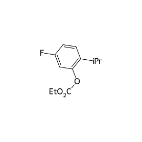 CCOC(=O)Oc1cc(F)ccc1C(C)C